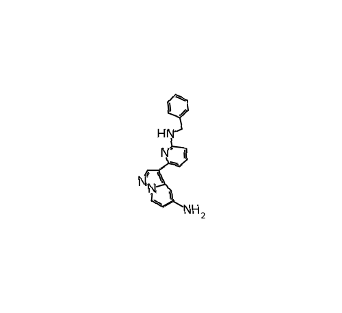 Nc1ccn2ncc(-c3cccc(NCc4ccccc4)n3)c2c1